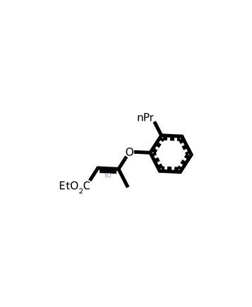 CCCc1ccccc1O/C(C)=C/C(=O)OCC